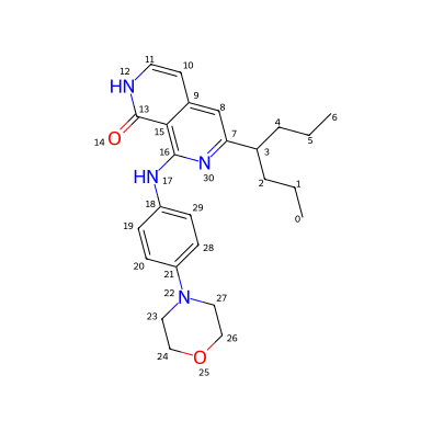 CCCC(CCC)c1cc2cc[nH]c(=O)c2c(Nc2ccc(N3CCOCC3)cc2)n1